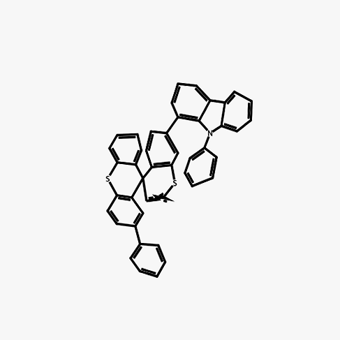 c1ccc(-c2ccc3c(c2)C2(c4ccccc4Sc4cc(-c5cccc6c7ccccc7n(-c7ccccc7)c56)ccc42)c2ccccc2S3)cc1